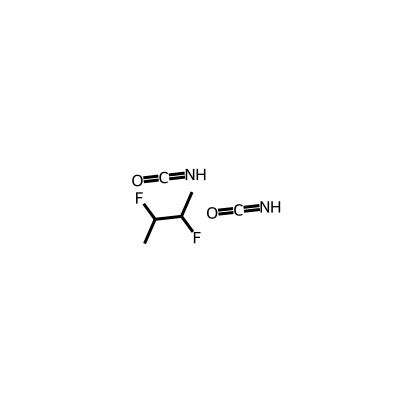 CC(F)C(C)F.N=C=O.N=C=O